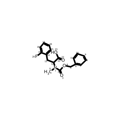 CN(C(=O)OCc1ccccc1)C(Cc1ccccc1F)C(=O)O